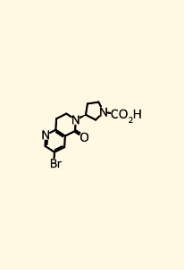 O=C(O)N1CC[C@H](N2CCc3ncc(Br)cc3C2=O)C1